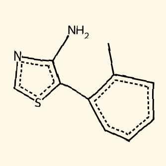 Cc1ccccc1-c1scnc1N